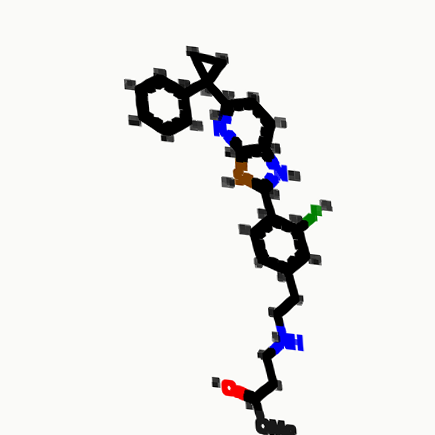 COC(=O)CCNCCc1ccc(-c2nc3ccc(C4(c5ccccc5)CC4)nc3s2)c(F)c1